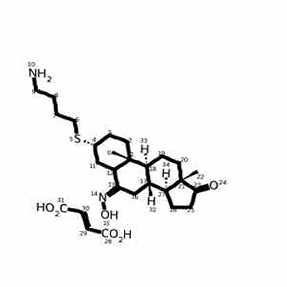 C[C@]12CC[C@@H](SCCCCN)CC1/C(=N/O)C[C@@H]1[C@@H]2CC[C@]2(C)C(=O)CC[C@@H]12.O=C(O)/C=C/C(=O)O